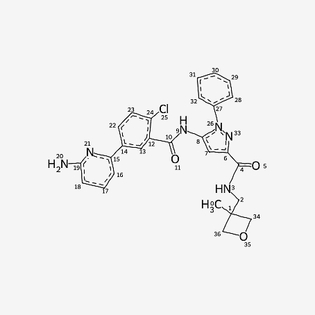 CC1(CNC(=O)c2cc(NC(=O)c3cc(-c4cccc(N)n4)ccc3Cl)n(-c3ccccc3)n2)COC1